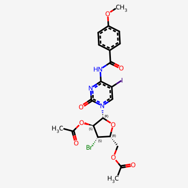 COc1ccc(C(=O)Nc2nc(=O)n([C@@H]3O[C@H](COC(C)=O)[C@H](Br)[C@H]3OC(C)=O)cc2I)cc1